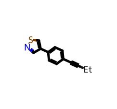 CCC#Cc1ccc(-c2cnsc2)cc1